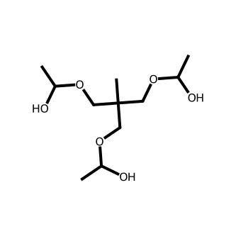 CC(O)OCC(C)(COC(C)O)COC(C)O